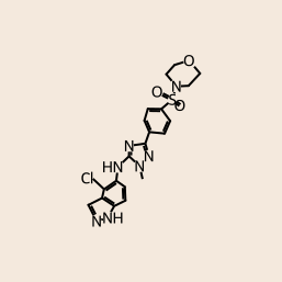 Cn1nc(-c2ccc(S(=O)(=O)N3CCOCC3)cc2)nc1Nc1ccc2[nH]ncc2c1Cl